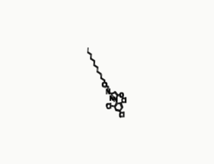 CCCCCCCCCCCO/C=N/C1=NN(c2c(Cl)cc(Cl)cc2Cl)C(=O)C1